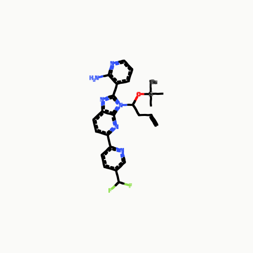 C=CCC(O[Si](C)(C)C(C)(C)C)n1c(-c2cccnc2N)nc2ccc(-c3ccc(C(F)F)cn3)nc21